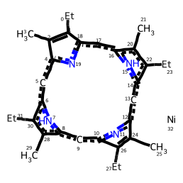 CCC1=C(C)c2cc3[nH]c(cc4nc(cc5[nH]c(cc1n2)c(C)c5CC)C(C)=C4CC)c(C)c3CC.[Ni]